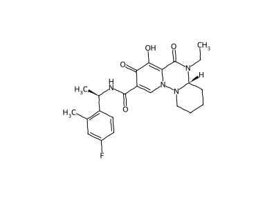 CCN1C(=O)c2c(O)c(=O)c(C(=O)N[C@H](C)c3ccc(F)cc3C)cn2N2CCCC[C@@H]12